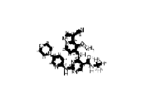 [2H]C([2H])([2H])NC(=O)c1cnc(Nc2ccc(N3CCOCC3)cn2)nc1Nc1ccn2ncc(C#N)c2c1OC